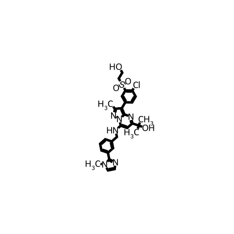 Cc1nn2c(NCc3cccc(-c4nccn4C)c3)cc(C(C)(C)O)nc2c1-c1ccc(Cl)c(S(=O)(=O)CCO)c1